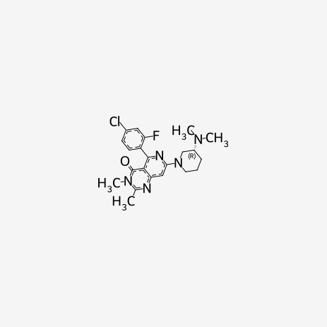 Cc1nc2cc(N3CCC[C@@H](N(C)C)C3)nc(-c3ccc(Cl)cc3F)c2c(=O)n1C